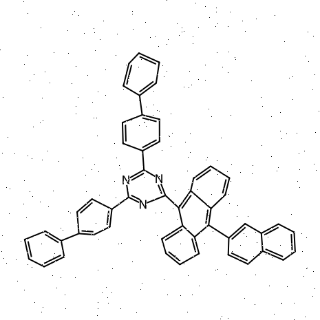 c1ccc(-c2ccc(-c3nc(-c4ccc(-c5ccccc5)cc4)nc(-c4c5ccccc5c(-c5ccc6ccccc6c5)c5ccccc45)n3)cc2)cc1